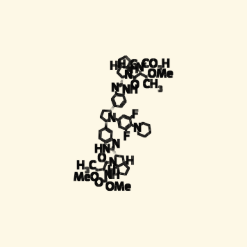 COC(=O)N[C@H](C(=O)N1[C@H](c2nc3cc([C@H]4CC[C@H](c5ccc6[nH]c([C@@H]7C[C@@H]8CCC[C@@H]8N7C(=O)[C@H]([C@@H](C)OC)N(C)C(=O)O)nc6c5)N4c4cc(F)c(N5CCCCC5)c(F)c4)ccc3[nH]2)C[C@@H]2CCC[C@@H]21)[C@@H](C)OC